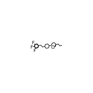 CCCC1=COC(C2CCC(CCc3cc(F)c(F)c(F)c3)CC2)CC1